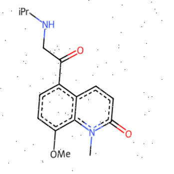 COc1ccc(C(=O)CNC(C)C)c2ccc(=O)n(C)c12